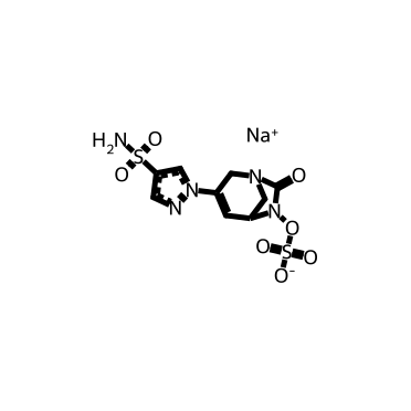 NS(=O)(=O)c1cnn(C2=CC3CN(C2)C(=O)N3OS(=O)(=O)[O-])c1.[Na+]